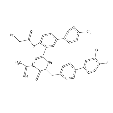 CC(=N)NC(=O)[C@@H](Cc1ccc(-c2ccc(F)c(Cl)c2)cc1)NC(=O)c1cc(-c2ccc(C(F)(F)F)cc2)ccc1OC(=O)CC(C)C